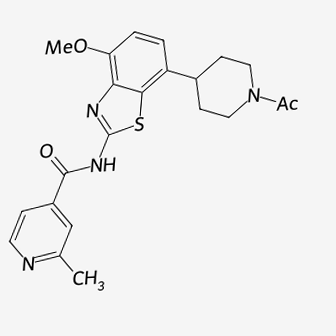 COc1ccc(C2CCN(C(C)=O)CC2)c2sc(NC(=O)c3ccnc(C)c3)nc12